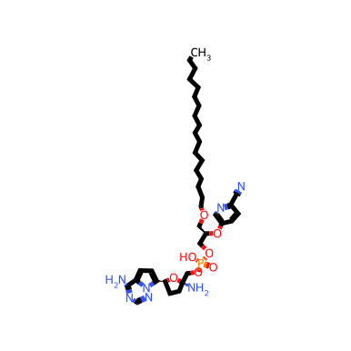 CCCCCCCCCCCCCCCCCCOC[C@H](COP(=O)(O)OC[C@]1(N)CC[C@H](c2ccc3c(N)ncnn23)O1)Oc1ccc(C#N)nc1